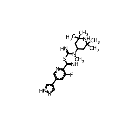 CN(C(=N)SC(=N)c1ncc(-c2cn[nH]c2)cc1F)C1CC(C)(C)NC(C)(C)C1